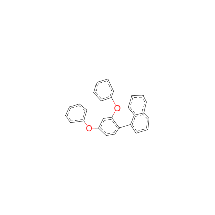 c1ccc(Oc2ccc(-c3cccc4ccccc34)c(Oc3ccccc3)c2)cc1